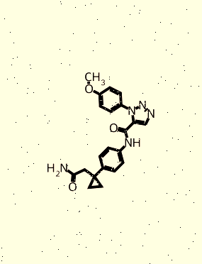 COc1ccc(-n2nncc2C(=O)Nc2ccc(C3(CC(N)=O)CC3)cc2)cc1